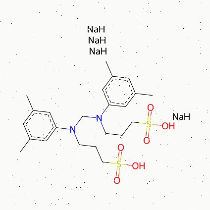 Cc1cc(C)cc(N(CCCS(=O)(=O)O)CN(CCCS(=O)(=O)O)c2cc(C)cc(C)c2)c1.[NaH].[NaH].[NaH].[NaH]